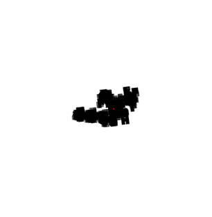 O=C(/C=C(/O)c1cc(Cc2cc(F)cc(F)c2F)cn(Cc2ccccc2F)c1=O)C(=O)N1CCN(c2ccc(-n3cccn3)cc2)CC1